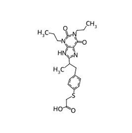 CCCn1c(=O)c2nc(C(C)Cc3ccc(SCC(=O)O)cc3)[nH]c2n(CCC)c1=O